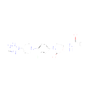 CCC(=O)NCC1CN(c2cc(F)c(N3CCC(n4ncnn4)CC3)c(F)c2)C(=O)O1